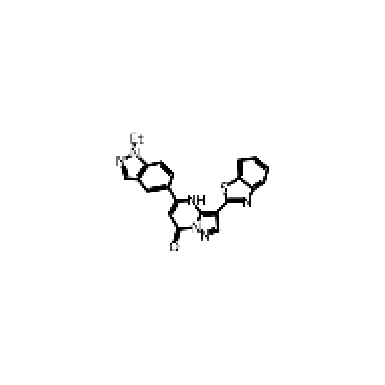 CCn1ncc2cc(-c3cc(=O)n4ncc(-c5nc6ccccc6s5)c4[nH]3)ccc21